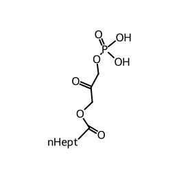 CCCCCCCC(=O)OCC(=O)COP(=O)(O)O